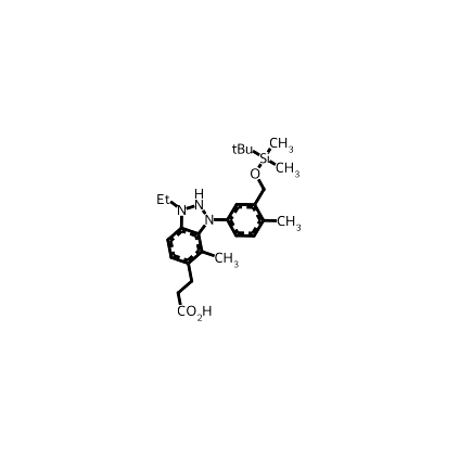 CCN1NN(c2ccc(C)c(CO[Si](C)(C)C(C)(C)C)c2)c2c1ccc(CCC(=O)O)c2C